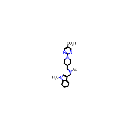 CC(=O)N(Cc1cn(C)c2ccccc12)CC1CCN(c2ncc(C(=O)O)cn2)CC1